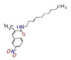 CCCCCCCCCCNC(=O)C(C)=Cc1cccc([N+](=O)[O-])c1